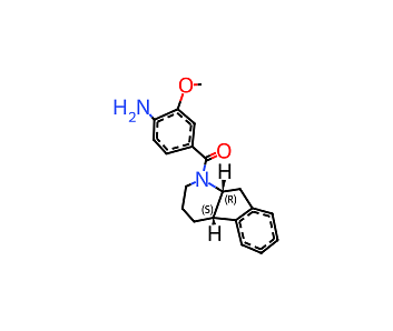 COc1cc(C(=O)N2CCC[C@H]3c4ccccc4C[C@H]32)ccc1N